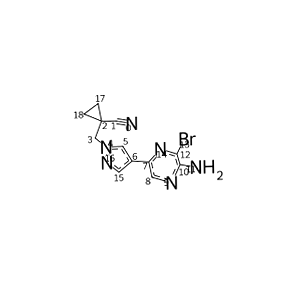 N#CC1(Cn2cc(-c3cnc(N)c(Br)n3)cn2)CC1